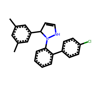 Cc1cc(C)cc(C2C=CNN2c2ccccc2-c2ccc(Cl)cc2)c1